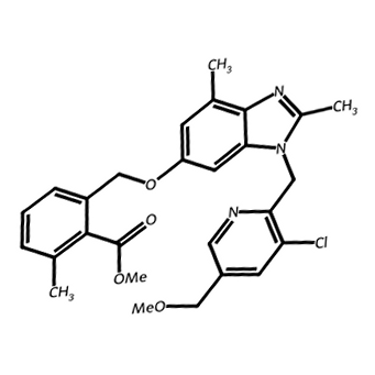 COCc1cnc(Cn2c(C)nc3c(C)cc(OCc4cccc(C)c4C(=O)OC)cc32)c(Cl)c1